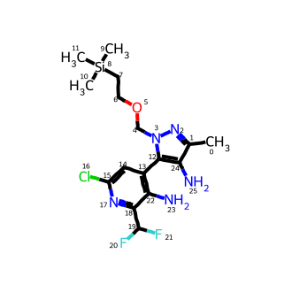 Cc1nn(COCC[Si](C)(C)C)c(-c2cc(Cl)nc(C(F)F)c2N)c1N